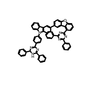 C1=C(c2ccc3oc4cccc(-c5nc(-c6ccccc6)nc(-c6ccccc6)n5)c4c3c2)CCc2c1c1ccccc1n2-c1ccc(C2=NC(c3ccccc3)NC(c3ccccc3)=N2)cc1